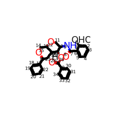 O=Cc1ccccc1C(=O)NC1COC2COC(c3ccccc3)C[C@H]2[C@@H]1OC(=O)c1ccccc1